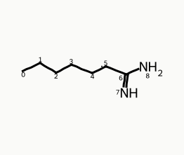 CCCCC[CH]C(=N)N